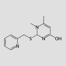 CC1=CC(O)=NC(SCc2ccccn2)N1C